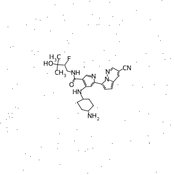 CC(C)(O)C(F)CNC(=O)c1cnc(-c2ccc3cc(C#N)cnn23)cc1NC1CCC(N)CC1